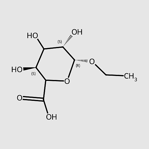 CCO[C@@H]1OC(C(=O)O)[C@@H](O)C(O)[C@@H]1O